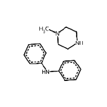 CN1CCNCC1.c1ccc(Nc2ccccc2)cc1